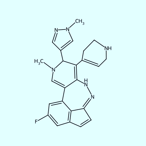 CN1C=C2C(=C(C3=CCNCC3)C1c1cnn(C)c1)NN=C1C=Cc3cc(F)cc2c31